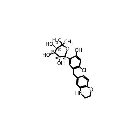 CC1(C)O[C@@H](c2cc(Cc3ccc4c(c3)NCCO4)c(Cl)cc2O)[C@H](O)[C@@H](O)[C@@H]1O